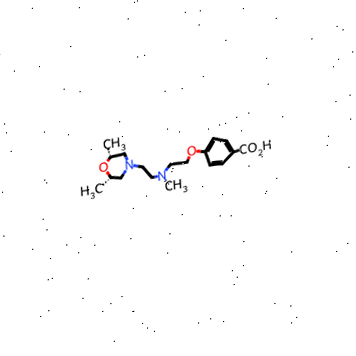 C[C@@H]1CN(CCN(C)CCOc2ccc(C(=O)O)cc2)C[C@H](C)O1